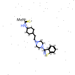 CNC(=S)NC1CCC(CCN2CCN(c3nsc4ccccc34)CC2)CC1